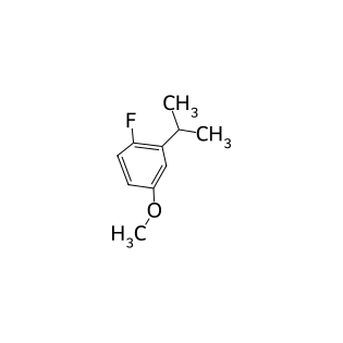 COc1ccc(F)c(C(C)C)c1